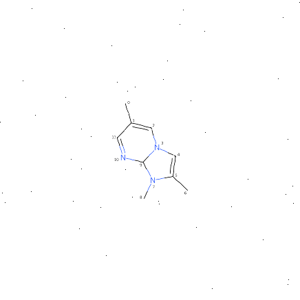 CC1=CN2C=C(C)N(C)C2N=C1